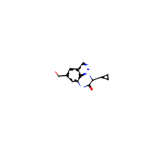 O=C1Nc2cc(CO)cc3cnn(c23)C1C1CC1